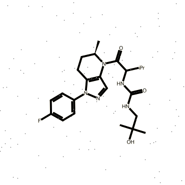 CC(C)C(NC(=O)NCC(C)(C)O)C(=O)N1c2cnn(-c3ccc(F)cc3)c2CC[C@H]1C